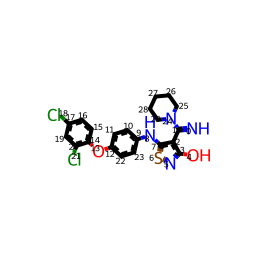 N=C(c1c(O)nsc1Nc1ccc(Oc2ccc(Cl)cc2Cl)cc1)N1CCCCC1